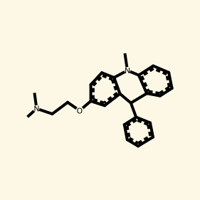 CN(C)CCOc1ccc2c(c1)C(c1ccccc1)c1ccccc1N2C